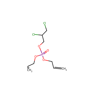 C=CCOP(=O)(OCC=C)OCC(Cl)CCl